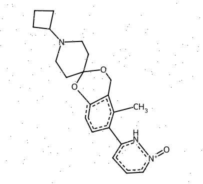 Cc1c(-c2ccc[n+](=O)[nH]2)ccc2c1COC1(CCN(C3CCC3)CC1)O2